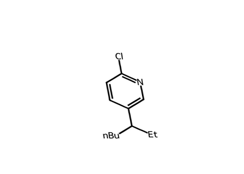 CCCCC(CC)c1ccc(Cl)nc1